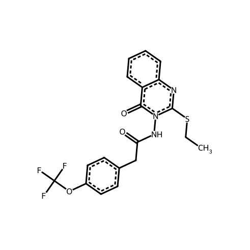 CCSc1nc2ccccc2c(=O)n1NC(=O)Cc1ccc(OC(F)(F)F)cc1